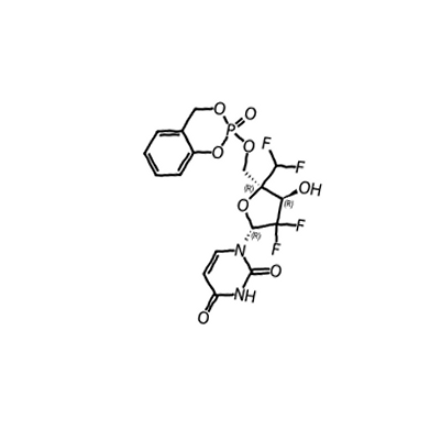 O=c1ccn([C@@H]2O[C@@](COP3(=O)OCc4ccccc4O3)(C(F)F)[C@@H](O)C2(F)F)c(=O)[nH]1